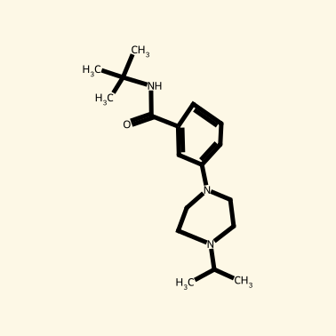 CC(C)N1CCN(c2cccc(C(=O)NC(C)(C)C)c2)CC1